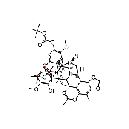 COc1cc2c(cc1OC(=O)OC(C)(C)C)CCN[C@]21CS[C@@H]2c3c(OC(C)=O)c(C)c4c(c3[C@H](COC1=O)N1C2[C@H]2c3c(cc(C)c(OC)c3O)C[C@H]([C@@H]1C#N)N2C(=O)OC(C)(C)C)OCO4